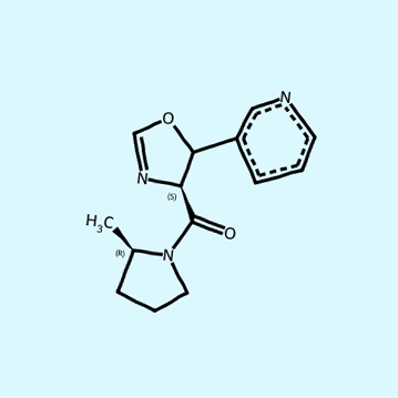 C[C@@H]1CCCN1C(=O)[C@H]1N=COC1c1cccnc1